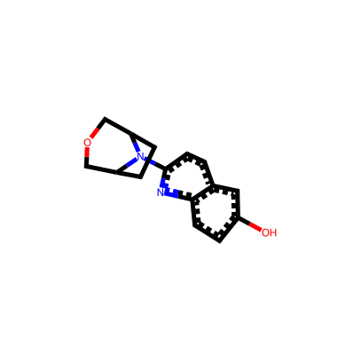 Oc1ccc2nc(N3C4CCC3COC4)ccc2c1